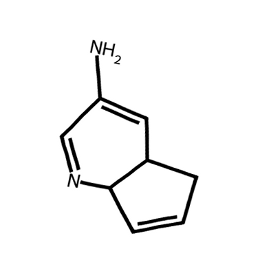 NC1=CC2CC=CC2N=C1